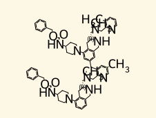 Cc1cnc(CN(C)C[C@H]2Cc3c(cccc3N3CCC(NC(=O)OCc4ccccc4)CC3)CN2)c(Cc2cc3c(c(N4CCC(NC(=O)OCc5ccccc5)CC4)c2)C[C@H](CN(C)Cc2ncccc2C)NC3)c1